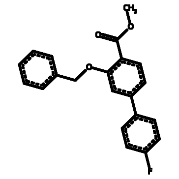 COC(=O)c1ccc(-c2ccc(F)cc2)cc1OCc1ccccc1